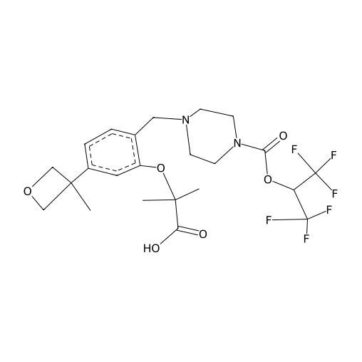 CC(C)(Oc1cc(C2(C)COC2)ccc1CN1CCN(C(=O)OC(C(F)(F)F)C(F)(F)F)CC1)C(=O)O